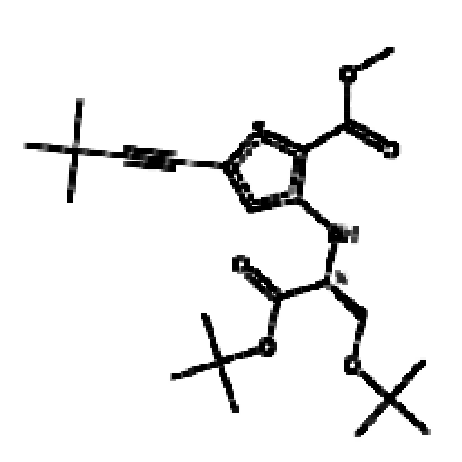 COC(=O)c1sc(C#CC(C)(C)C)cc1N[C@@H](COC(C)(C)C)C(=O)OC(C)(C)C